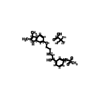 Cc1[nH]c2cc(OCCNCC(O)c3cccc(NS(C)(=O)=O)c3)ccc2c1C.O=C(O)C(F)(F)F